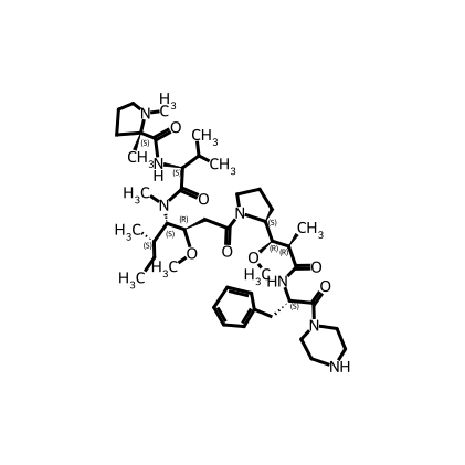 CC[C@H](C)[C@@H]([C@@H](CC(=O)N1CCC[C@H]1[C@H](OC)[C@@H](C)C(=O)N[C@@H](Cc1ccccc1)C(=O)N1CCNCC1)OC)N(C)C(=O)[C@@H](NC(=O)[C@]1(C)CCCN1C)C(C)C